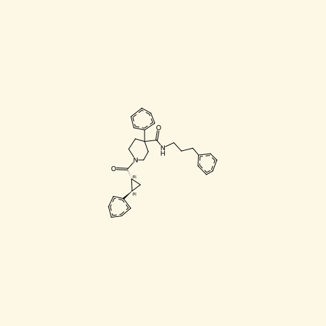 O=C([C@@H]1C[C@H]1c1ccccc1)N1CCC(C(=O)NCCCc2ccccc2)(c2ccccc2)CC1